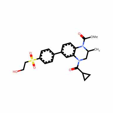 COC(=O)N1c2ccc(-c3ccc(S(=O)(=O)CCO)cc3)cc2N(C(=O)C2CC2)CC1C